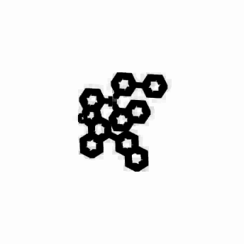 c1ccc(-c2cccc(N(c3cccc4ccccc34)c3cccc4oc5c6ccccc6c(-c6ccc7ccccc7c6)cc5c34)c2)cc1